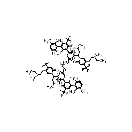 CCN(C)CCc1cn(C(CC(C)C)C(=O)N[C@@H](CC(=O)O)c2c(F)c(-c3c(C)ccc(C)c3C)cc(C(F)(F)F)c2F)c(=O)cc1C(F)(F)F.CCOC(=O)C[C@H](NC(=O)C(CC(C)C)n1cc(CCN(C)CC)c(C(F)(F)F)cc1=O)c1c(F)c(-c2c(C)ccc(C)c2C)cc(C(F)(F)F)c1F